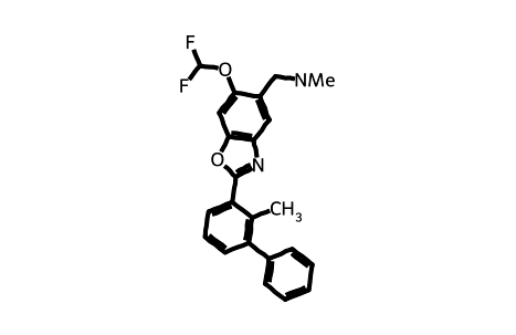 CNCc1cc2nc(-c3cccc(-c4ccccc4)c3C)oc2cc1OC(F)F